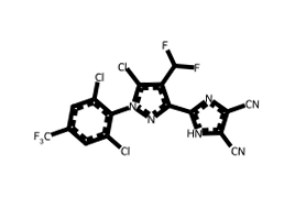 N#Cc1nc(-c2nn(-c3c(Cl)cc(C(F)(F)F)cc3Cl)c(Cl)c2C(F)F)[nH]c1C#N